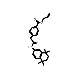 C=CCOC(=O)c1ccc(CC(=O)Nc2ccc3c(c2)C(C)(C)CCC3(C)C)cc1